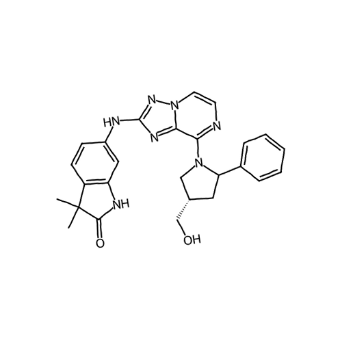 CC1(C)C(=O)Nc2cc(Nc3nc4c(N5C[C@@H](CO)CC5c5ccccc5)nccn4n3)ccc21